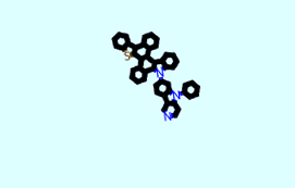 c1ccc(-n2c3ccncc3c3ccc(-n4c5ccccc5c5c6c7ccccc7c7c8ccccc8sc7c6c6ccccc6c54)cc32)cc1